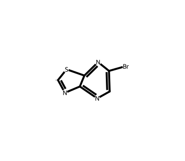 Brc1cnc2n[c]sc2n1